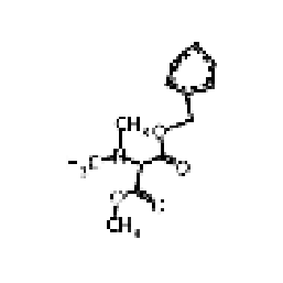 COC(=O)C(C(=O)OCc1ccccc1)N(C)C